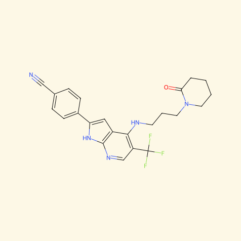 N#Cc1ccc(-c2cc3c(NCCCN4CCCCC4=O)c(C(F)(F)F)cnc3[nH]2)cc1